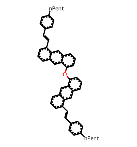 CCCCCc1ccc(/C=C/c2cccc3cc4c(Oc5cccc6cc7c(/C=C/c8ccc(CCCCC)cc8)cccc7cc56)cccc4cc23)cc1